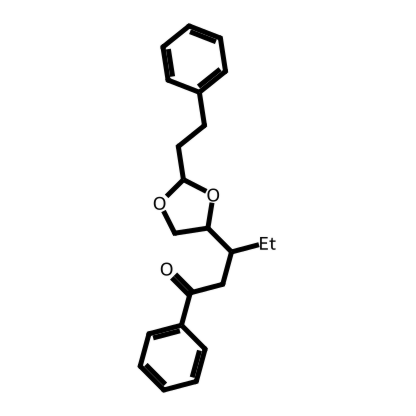 CCC(CC(=O)c1ccccc1)C1COC(CCc2ccccc2)O1